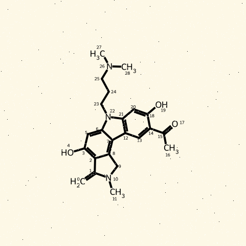 C=C1c2c(O)cc3c(c2CN1C)c1cc(C(C)=O)c(O)cc1n3CCCN(C)C